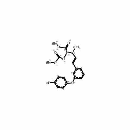 C[C@@H](/C=C/c1cccc(Oc2ccc(F)cc2)c1)N(OC(=O)OC(C)(C)C)C(=O)OC(C)(C)C